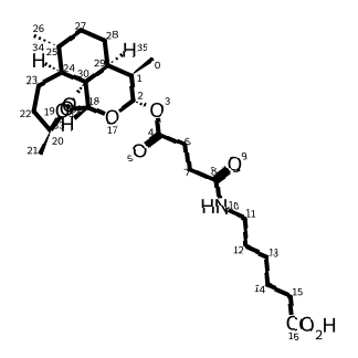 C[C@H]1[C@H](OC(=O)CCC(=O)NCCCCCC(=O)O)O[C@@H]2O[C@@]3(C)CC[C@H]4[C@H](C)CC[C@@H]1[C@@]24OO3